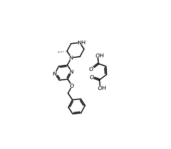 C[C@@H]1CNCCN1c1cncc(OCc2ccccc2)n1.O=C(O)/C=C\C(=O)O